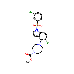 CC(C)(C)OC(=O)N1CCCN(c2c(Cl)ccc3c2ccn3S(=O)(=O)c2cccc(Cl)c2)CC1